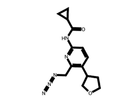 [N-]=[N+]=NCc1nc(NC(=O)C2CC2)ccc1C1CCOC1